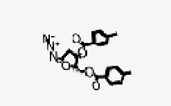 Cc1ccc(C(=O)OC[C@H]2O[C@H](N=[N+]=[N-])C[C@@H]2OC(=O)c2ccc(C)cc2)cc1